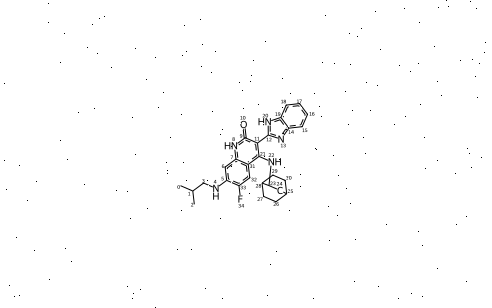 CC(C)CNc1cc2[nH]c(=O)c(-c3nc4ccccc4[nH]3)c(NC3CC4CCC3CC4)c2cc1F